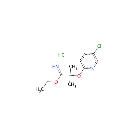 CCOC(=N)C(C)(C)Oc1ccc(Cl)cn1.Cl